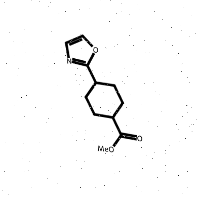 COC(=O)C1CCC(c2ncco2)CC1